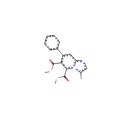 COC(=O)c1c(-c2ccccc2)cc2ncc(Br)n2c1C(=O)OC